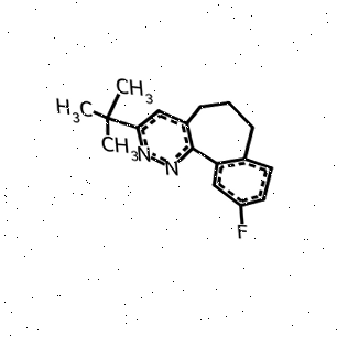 CC(C)(C)c1cc2c(nn1)-c1cc(F)ccc1CCC2